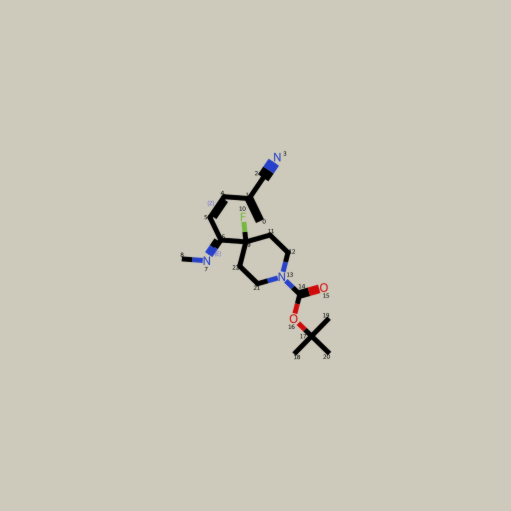 C=C(C#N)/C=C\C(=N/C)C1(F)CCN(C(=O)OC(C)(C)C)CC1